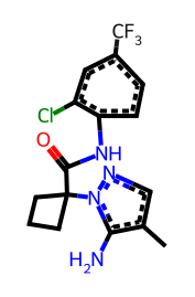 Cc1cnn(C2(C(=O)Nc3ccc(C(F)(F)F)cc3Cl)CCC2)c1N